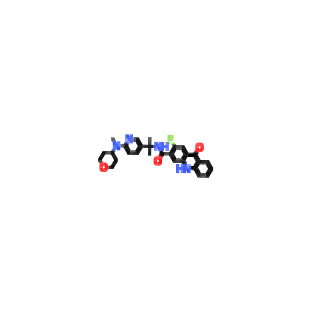 CN(c1ccc(C(C)(C)NC(=O)c2cc3[nH]c4ccccc4c(=O)c3cc2F)cn1)C1CCOCC1